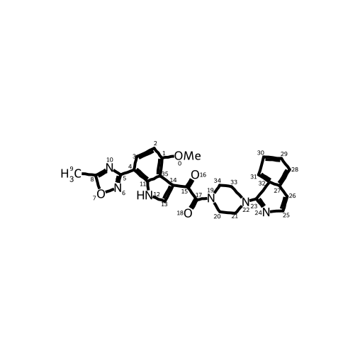 COc1ccc(-c2noc(C)n2)c2[nH]cc(C(=O)C(=O)N3CCN(c4nccc5ccccc45)CC3)c12